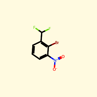 O=[N+]([O-])c1cccc(C(F)F)c1Br